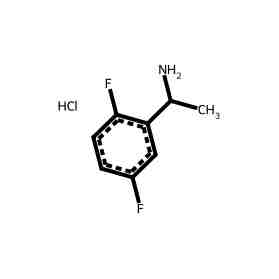 CC(N)c1cc(F)ccc1F.Cl